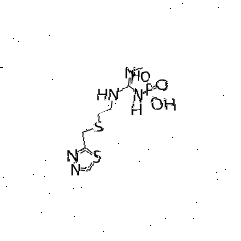 CN=C(NCCSCc1nncs1)NP(=O)(O)O